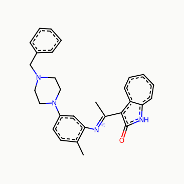 C/C(=N\c1cc(N2CCN(Cc3ccccc3)CC2)ccc1C)c1c2cccccc-2[nH]c1=O